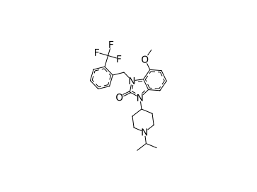 COc1cccc2c1n(Cc1ccccc1C(F)(F)F)c(=O)n2C1CCN(C(C)C)CC1